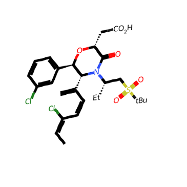 C=C(/C=C\C(Cl)=C/C)[C@@H]1[C@@H](c2cccc(Cl)c2)O[C@H](CC(=O)O)C(=O)N1[C@@H](CC)CS(=O)(=O)C(C)(C)C